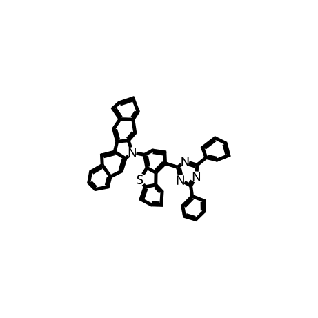 c1ccc(-c2nc(-c3ccccc3)nc(-c3ccc(-n4c5cc6ccccc6cc5c5cc6ccccc6cc54)c4sc5ccccc5c34)n2)cc1